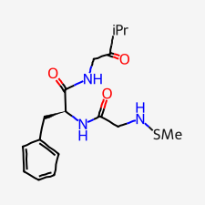 CSNCC(=O)N[C@@H](Cc1ccccc1)C(=O)NCC(=O)C(C)C